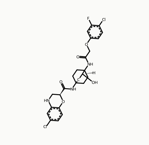 O=C(COc1ccc(Cl)c(F)c1)NC12CCC(NC(=O)[C@@H]3CNc4cc(Cl)ccc4O3)(CC1)C[C@@H]2O